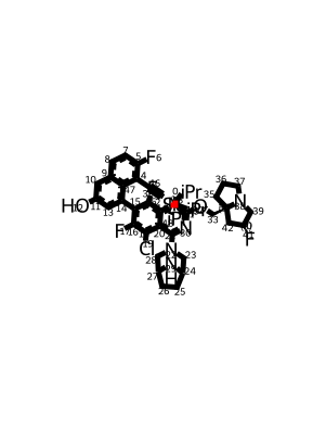 CC(C)[Si](C#Cc1c(F)ccc2cc(O)cc(-c3c(F)c(Cl)c4c(N5CC6CCC(C5)N6)nc(OC[C@@]56CCCN5C[C@H](F)C6)nc4c3F)c12)(C(C)C)C(C)C